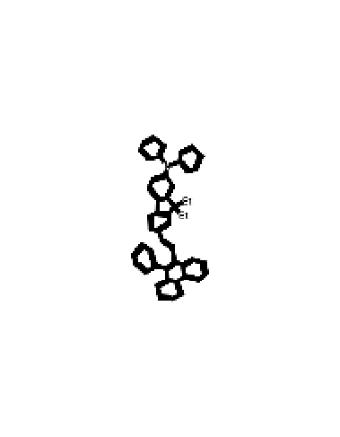 CCC1(CC)c2cc(/C=C/c3c(-c4ccccc4)c4ccccc4c4ccccc34)ccc2-c2ccc(N(c3ccccc3)c3ccccc3)cc21